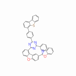 c1ccc(-c2nc(-c3ccc(-c4cccc5c4sc4ccccc45)cc3)nc(-c3cccc4oc5ccc(-c6nc7ccccc7o6)cc5c34)n2)cc1